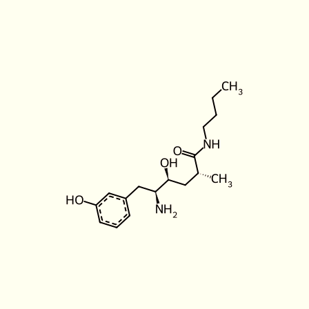 CCCCNC(=O)[C@H](C)C[C@H](O)[C@@H](N)Cc1cccc(O)c1